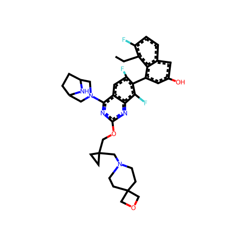 CCc1c(F)ccc2cc(O)cc(-c3c(F)cc4c(N5CC6CCC(C5)N6)nc(OCC5(CN6CCC7(CC6)COC7)CC5)nc4c3F)c12